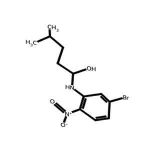 CC(C)CCC(O)Nc1cc(Br)ccc1[N+](=O)[O-]